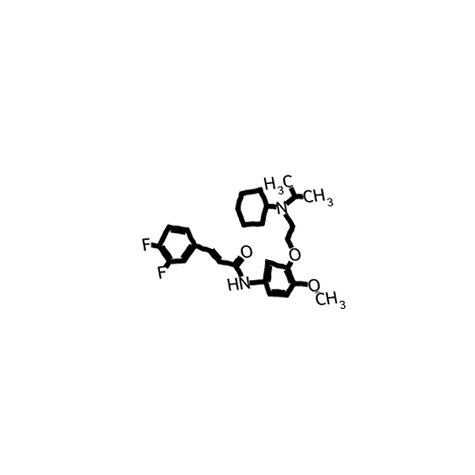 COc1ccc(NC(=O)C=Cc2ccc(F)c(F)c2)cc1OCCN(C(C)C)C1CCCCC1